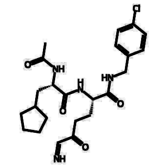 CC(=O)N[C@@H](CC1CCCC1)C(=O)N[C@@H](CCC(=O)C=N)C(=O)NCc1ccc(Cl)cc1